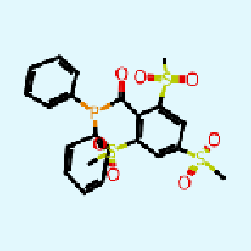 CS(=O)(=O)c1cc(S(C)(=O)=O)c(C(=O)P(c2ccccc2)c2ccccc2)c(S(C)(=O)=O)c1